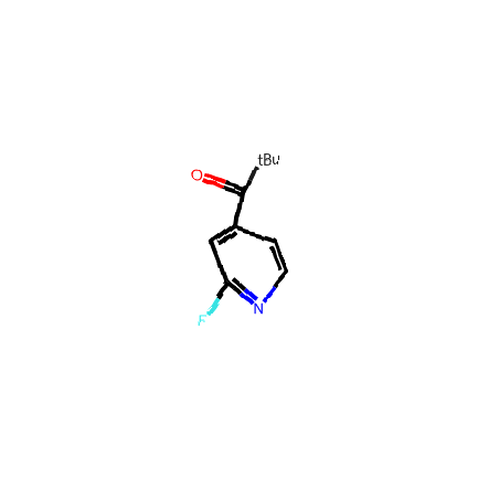 CC(C)(C)C(=O)c1ccnc(F)c1